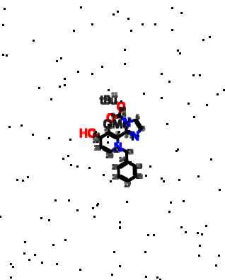 COC1=C(c2nccn2C(=O)OC(C)(C)C)N(Cc2ccccc2)C=CC1O